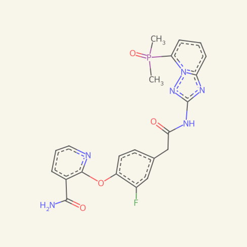 CP(C)(=O)c1cccc2nc(NC(=O)Cc3ccc(Oc4ncccc4C(N)=O)c(F)c3)nn12